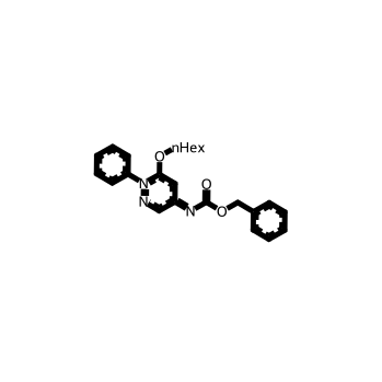 CCCCCCOc1c/c(=N\C(=O)OCc2ccccc2)cnn1-c1ccccc1